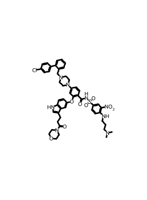 CN(C)CCCNc1ccc(S(=O)(=O)NC(=O)c2ccc(N3CCN(Cc4ccccc4-c4ccc(Cl)cc4)CC3)cc2Oc2ccc3[nH]cc(CCC(=O)N4CCOCC4)c3c2)cc1[N+](=O)[O-]